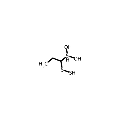 CCC(SS)[SiH](O)O